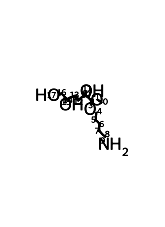 COC(OCCCCCN)C(O)/C=C/[C@H](O)CO